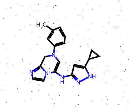 Cc1cccc(N2C=C(Nc3cc(C4CC4)[nH]n3)[N+]3C=CN=C3C2)c1